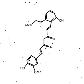 COCOc1cccc(O)c1C=CC(=O)CC(=O)C=Cc1ccc(O)c(OC)c1